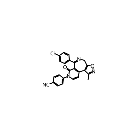 Cc1noc2c1-c1ccn(-c3ccc(C#N)cc3)c(=O)c1C(c1ccc(Cl)cc1)=NC2